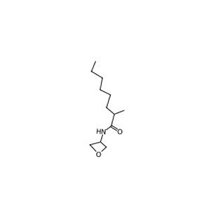 CCCCCCC(C)C(=O)NC1COC1